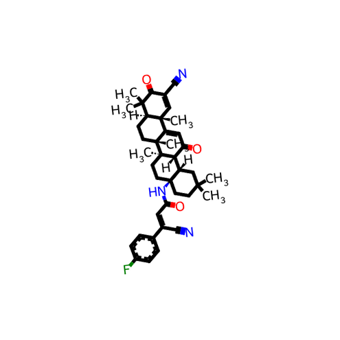 CC1(C)CC[C@]2(NC(=O)/C=C(\C#N)c3ccc(F)cc3)CC[C@]3(C)[C@H](C(=O)C=C4[C@@]5(C)C=C(C#N)C(=O)C(C)(C)[C@@H]5CC[C@]43C)[C@@H]2C1